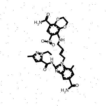 CCn1nc(C)cc1C(=O)Nc1nc2cc(C(N)=O)cc(C)c2n1C/C=C/CNc1c([N+](=O)[O-])cc(C(N)=O)c2c1OCCO2